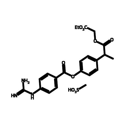 CCOC(=O)COC(=O)C(C)c1ccc(OC(=O)c2ccc(NC(=N)N)cc2)cc1.CS(=O)(=O)O